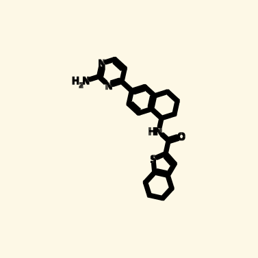 Nc1nccc(-c2ccc3c(c2)CCCC3NC(=O)c2cc3c(s2)CCCC3)n1